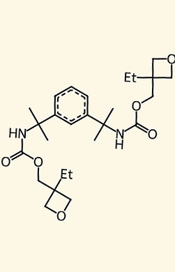 CCC1(COC(=O)NC(C)(C)c2cccc(C(C)(C)NC(=O)OCC3(CC)COC3)c2)COC1